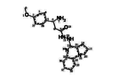 COc1ccc(C(N)CC(=O)NNc2nc3ccccc3n3cccc23)cc1